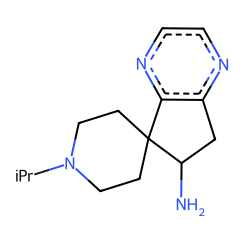 CC(C)N1CCC2(CC1)c1nccnc1CC2N